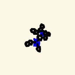 c1ccc(-c2nc(-c3cc(-c4ccccc4)c(-n4c5cc6ccccc6cc5c5c6ccccc6ccc54)c(-c4ccc5ccccc5c4)c3)nc(-c3ccc4ccccc4c3)n2)cc1